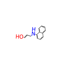 OC=CCNc1cccc2ccccc12